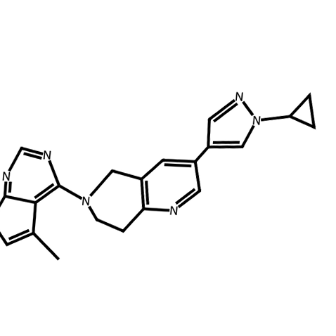 Cc1coc2ncnc(N3CCc4ncc(-c5cnn(C6CC6)c5)cc4C3)c12